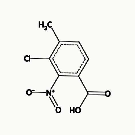 Cc1ccc(C(=O)O)c([N+](=O)[O-])c1Cl